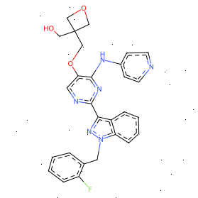 OCC1(COc2cnc(-c3nn(Cc4ccccc4F)c4ccccc34)nc2Nc2ccncc2)COC1